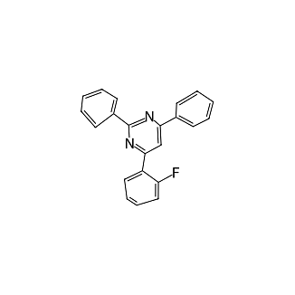 Fc1ccccc1-c1cc(-c2ccccc2)nc(-c2ccccc2)n1